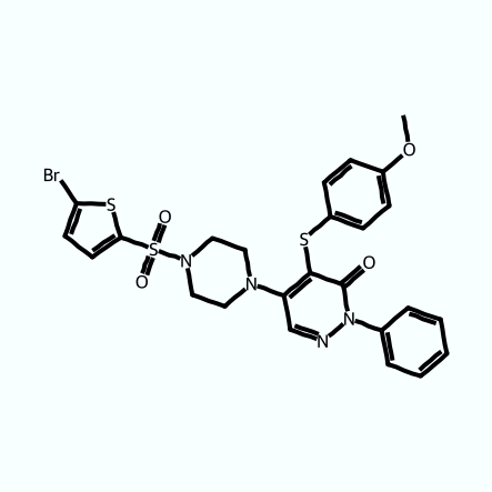 COc1ccc(Sc2c(N3CCN(S(=O)(=O)c4ccc(Br)s4)CC3)cnn(-c3ccccc3)c2=O)cc1